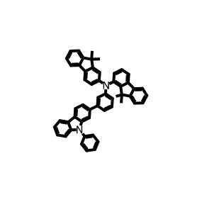 CC1(C)c2ccccc2-c2ccc(N(c3cccc(-c4ccc5c6ccccc6n(-c6ccccc6)c5c4)c3)c3cccc4c3C(C)(C)c3ccccc3-4)cc21